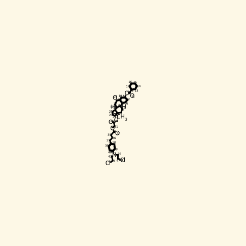 C[C@]12CC[C@@H]3c4ccc(OC(=O)c5ccccc5)cc4C(=O)C[C@H]3[C@@H]1CC[C@@H]2OC(=O)COC(=O)CCCc1ccc(N(CCCl)CCCl)cc1